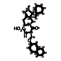 CN1N=C2CCN(C(=O)[C@@H](COc3ccc4ccccc4c3)NC(=O)O)C[C@@]2(Cc2ccccc2)C1=O